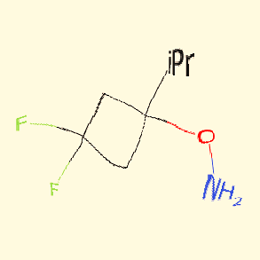 CC(C)C1(ON)CC(F)(F)C1